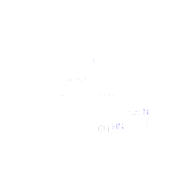 Cc1cccc(I)c1CC1=NCCN1